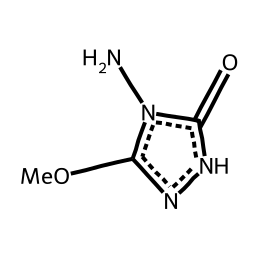 COc1n[nH]c(=O)n1N